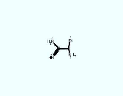 [CH2]CC(N)C(=N)N